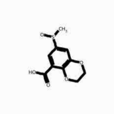 C[S+]([O-])c1cc2c(c(C(=O)O)c1)OCCO2